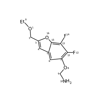 CCOCc1cc2cc(OCN)c(F)c(F)c2o1